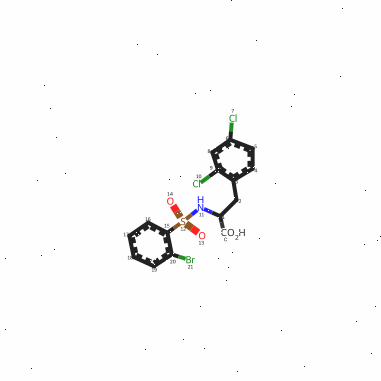 O=C(O)C(Cc1ccc(Cl)cc1Cl)NS(=O)(=O)c1ccccc1Br